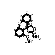 CCCOc1cccc2c1C1(COC(N)=N1)c1ccccc1O2